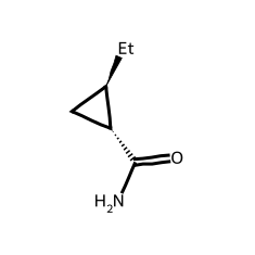 CC[C@@H]1C[C@H]1C(N)=O